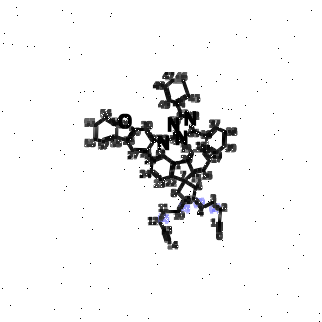 C#C/C=C\C=C/CC1(C/C=C\C=C/C#C)c2ccccc2-c2c1ccc1c3cc4c(cc3n(-c3nc(-c5ccccc5)nc(-c5ccccc5)n3)c21)oc1ccccc14